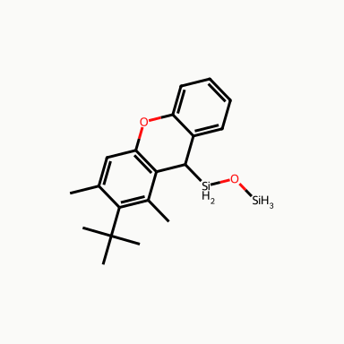 Cc1cc2c(c(C)c1C(C)(C)C)C([SiH2]O[SiH3])c1ccccc1O2